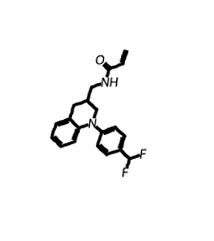 C=CC(=O)NCC1Cc2ccccc2N(c2ccc(C(F)F)cc2)C1